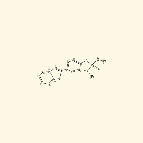 CC(C)OP(=O)(Cc1ccc(-c2nc3ccccc3s2)nc1)OC(C)C